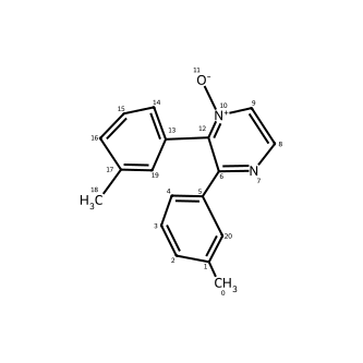 Cc1cccc(-c2ncc[n+]([O-])c2-c2cccc(C)c2)c1